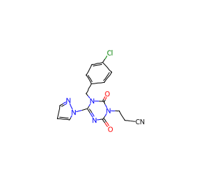 N#CCCn1c(=O)nc(-n2cccn2)n(Cc2ccc(Cl)cc2)c1=O